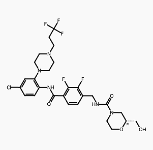 O=C(Nc1ccc(Cl)cc1N1CCN(CCC(F)(F)F)CC1)c1ccc(CNC(=O)N2CCO[C@@H](CO)C2)c(F)c1F